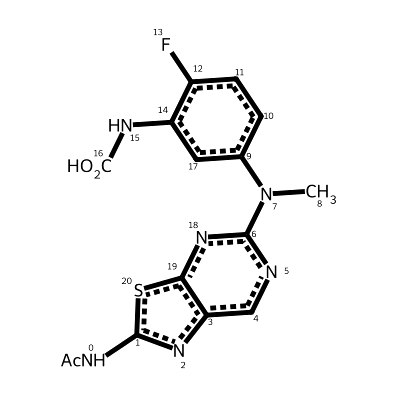 CC(=O)Nc1nc2cnc(N(C)c3ccc(F)c(NC(=O)O)c3)nc2s1